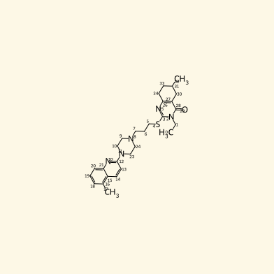 CCn1c(SCCCN2CCN(c3ccc4c(C)cccc4n3)CC2)nc2c(c1=O)CC(C)CC2